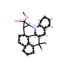 COC1(O)C2c3ccc4cccc5c4c3-c3c(cc4ccccc4[n+]3C21)C5(C)C